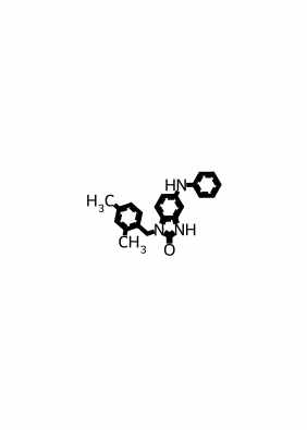 Cc1ccc(Cn2c(=O)[nH]c3cc(Nc4ccccc4)ccc32)c(C)c1